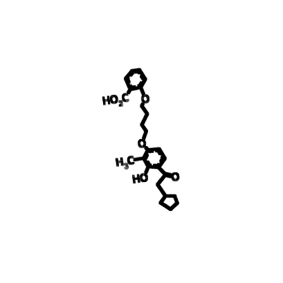 Cc1c(OCCCCOc2ccccc2C(=O)O)ccc(C(=O)CC2CCCC2)c1O